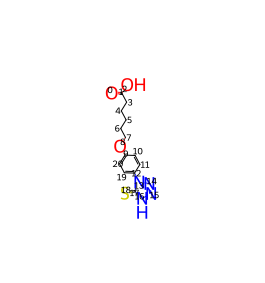 O=C(O)CCCCCOc1ccc(-n2nn[nH]c2=S)cc1